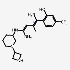 CC(/C=C(\N)NC1CCCN(C2CNC2)C1)=C(/N)c1ccc(C(F)(F)F)cc1O